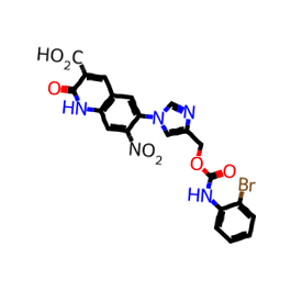 O=C(Nc1ccccc1Br)OCc1cn(-c2cc3cc(C(=O)O)c(=O)[nH]c3cc2[N+](=O)[O-])cn1